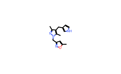 Cc1cc(Cn2nc(C)c(Cc3cc[nH]c3)c2C)no1